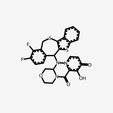 O=C1c2c(O)c(=O)ccn2N(C2c3ccc(F)c(F)c3CSc3c2sc2ccccc32)C2COCCN12